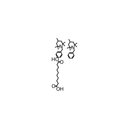 CC1CC(C)(C)N(Cc2ccccc2)C(C)(C)C1.CC1CC(C)(C)N(Cc2ccccc2)C(C)(C)C1.O=C(O)CCCCCCCCC(=O)O